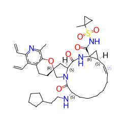 C=Cc1nc(C)c2c(c1C=C)CC[C@]1(C[C@H]3C(=O)N[C@]4(C(=O)NS(=O)(=O)C5(C)CC5)C[C@H]4/C=C\CCCCC[C@H](NCCC4CCCC4)C(=O)N3C1)O2